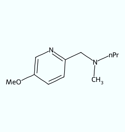 CCCN(C)Cc1ccc(OC)cn1